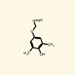 CCCCCCCCOc1cc(C)c(O)c(C)c1